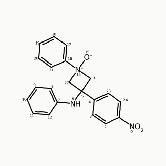 O=[N+]([O-])c1ccc(C2(Nc3ccccc3)C[N+]([O-])(c3ccccc3)C2)cc1